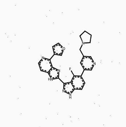 Fc1c(-c2cncc(CN3CCCC3)c2)ccc2[nH]nc(-c3nc4c(-c5ccoc5)nccc4[nH]3)c12